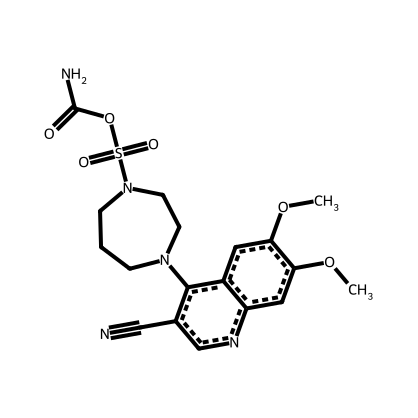 COc1cc2ncc(C#N)c(N3CCCN(S(=O)(=O)OC(N)=O)CC3)c2cc1OC